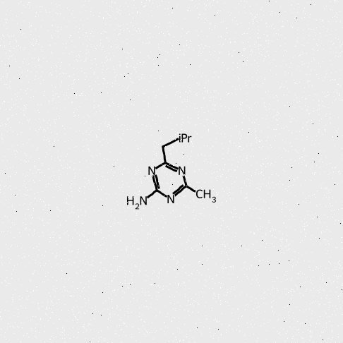 Cc1nc(N)nc(CC(C)C)n1